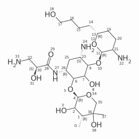 C[C@@H]1C(O)[C@@H](OC2C(O)C(O[C@H]3O[C@H](CCCCO)CCC3N)[C@@H](N)C[C@H]2NC(=O)[C@@H](O)CN)OCC1(C)O